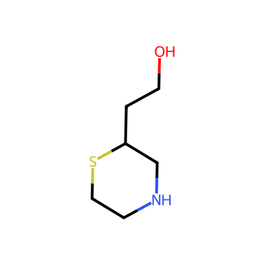 OCCC1CNCCS1